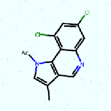 CC(=O)n1cc(C)c2cnc3cc(Cl)cc(Cl)c3c21